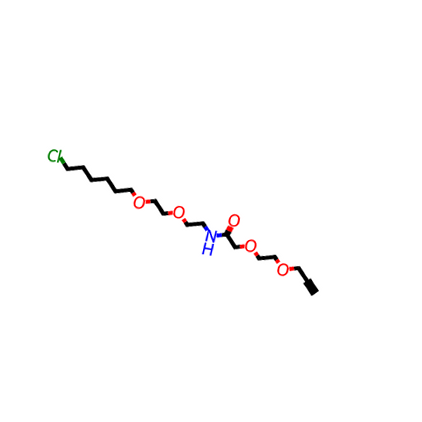 C#CCOCCOCC(=O)NCCOCCOCCCCCCCl